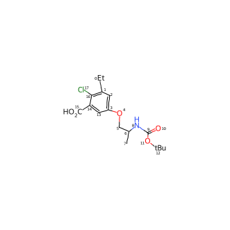 CCc1cc(OCC(C)NC(=O)OC(C)(C)C)cc(C(=O)O)c1Cl